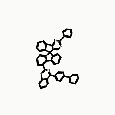 c1ccc(-c2ccc(-c3nc(-c4cccc5c4-c4ccccc4C54c5ccccc5-c5nc(-c6ccccc6)ncc54)nc4ccccc34)cc2)cc1